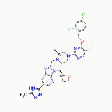 C[C@H]1CN(c2ncc(F)c(OCc3ccc(Cl)cc3F)n2)CCN1Cc1nc2cc(-c3nnc(C(F)(F)F)[nH]3)cnc2n1C[C@@H]1CCO1